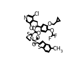 Cc1ccc2sc(S(=O)(=O)N3CCS[C@H]3C(=O)O[C@@H](Cc3c(Cl)cncc3Cl)c3ccc(OC(F)F)c(OCC4CC4)c3)cc2c1